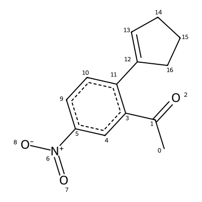 CC(=O)c1cc([N+](=O)[O-])ccc1C1=CCCC1